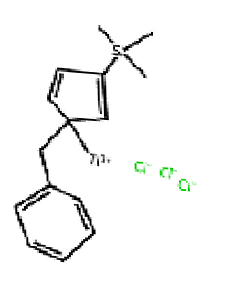 C[Si](C)(C)C1=C[C]([Ti+3])(Cc2ccccc2)C=C1.[Cl-].[Cl-].[Cl-]